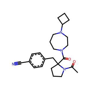 CC(=O)N1CCCC1(Cc1ccc(C#N)cc1)C(=O)N1CCCN(C2CCC2)CC1